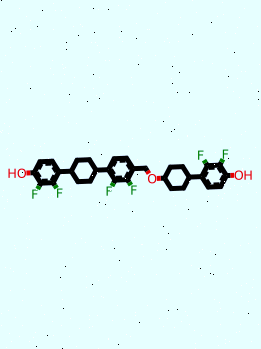 Oc1ccc(C2CCC(OCc3ccc(C4CCC(c5ccc(O)c(F)c5F)CC4)c(F)c3F)CC2)c(F)c1F